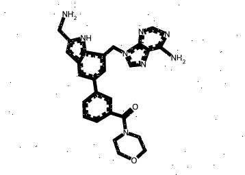 NCc1cc2cc(-c3cccc(C(=O)N4CCOCC4)c3)cc(Cn3cnc4c(N)ncnc43)c2[nH]1